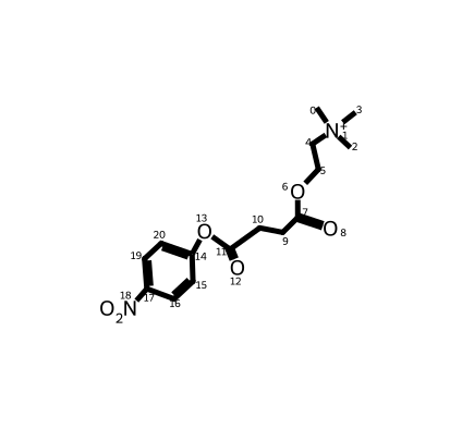 C[N+](C)(C)CCOC(=O)CCC(=O)Oc1ccc([N+](=O)[O-])cc1